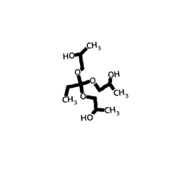 CCC(OCC(C)O)(OCC(C)O)OCC(C)O